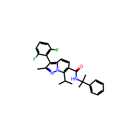 Cc1nn2c(C(C)C)c(C(=O)NC(C)(C)c3ccccc3)ccc2c1-c1c(F)cccc1F